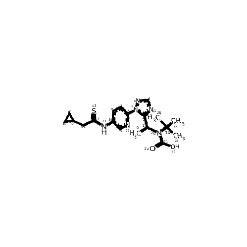 CC(c1ncnn1-c1ccc(NC(=S)CC2CC2)cn1)N(C(=O)O)C(C)(C)C